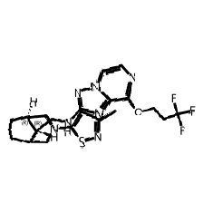 Cc1cc(N2CC3CC[C@@H](C2)[C@@H]3CNc2nc3c(OCCC(F)(F)F)nccn3n2)sn1